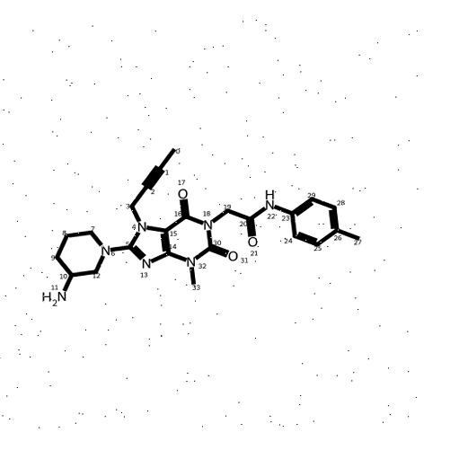 CC#CCn1c(N2CCCC(N)C2)nc2c1c(=O)n(CC(=O)Nc1ccc(C)cc1)c(=O)n2C